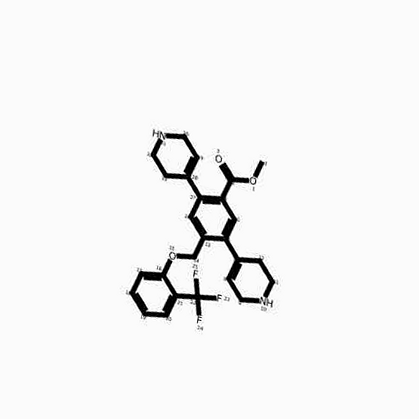 COC(=O)c1cc(C2=CCNCC2)c(COc2ccccc2C(F)(F)F)cc1C1=CCNCC1